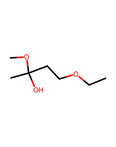 CCOCCC(C)(O)OC